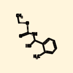 CCOC(=O)NC(O)c1ccccc1C